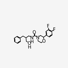 O=C(NCC(CO)Cc1ccccc1)N1CCOC(c2ccc(F)c(F)c2)C1